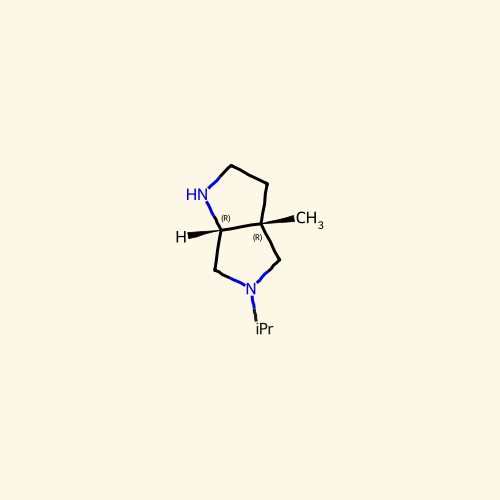 CC(C)N1C[C@@H]2NCC[C@]2(C)C1